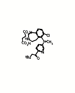 CN(c1ccc(C(=O)CC(C)(C)C)nc1)c1c(Cl)ccc2c1CCNCC2.O=C(O)CCC(=O)O